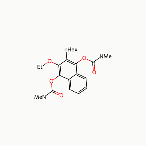 CCCCCCc1c(OCC)c(OC(=O)NC)c2ccccc2c1OC(=O)NC